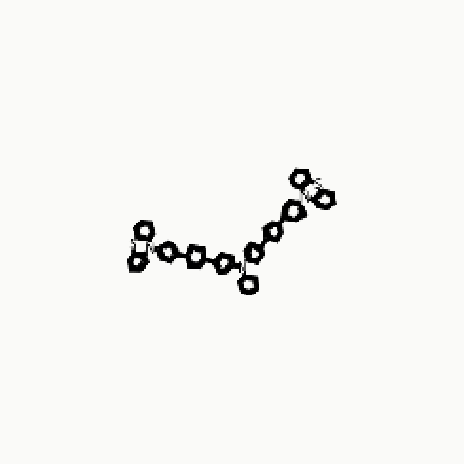 c1ccc(N(c2ccc(-c3ccc(-c4ccc(N5c6ccccc6Sc6ccccc65)cc4)cc3)cc2)c2ccc(-c3ccc(-c4ccc(N5c6ccccc6Sc6ccccc65)cc4)cc3)cc2)cc1